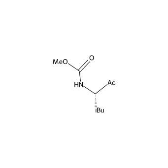 CCC(C)[C@H](NC(=O)OC)C(C)=O